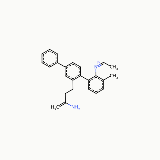 C=C(N)CCc1cc(-c2ccccc2)ccc1-c1cccc(C)c1/N=C\C